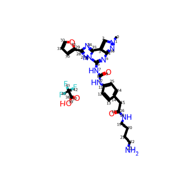 Cn1cc2c(nc(NC(=O)Nc3ccc(CC(=O)NCCCCN)cc3)n3nc(-c4ccco4)nc23)n1.O=C(O)C(F)(F)F